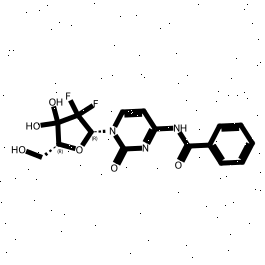 O=C(Nc1ccn([C@@H]2O[C@H](CO)C(O)(O)C2(F)F)c(=O)n1)c1ccccc1